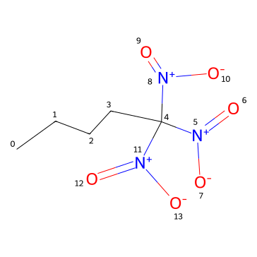 CCCCC([N+](=O)[O-])([N+](=O)[O-])[N+](=O)[O-]